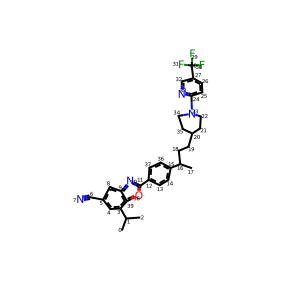 CC(C)c1cc(C#N)cc2nc(-c3ccc(C(C)CCC4CCN(c5ccc(C(F)(F)F)cn5)CC4)cc3)oc12